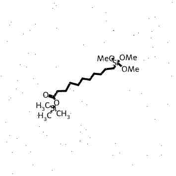 CO[Si](CCCCCCCCCCC(=O)O[Si](C)(C)C)(OC)OC